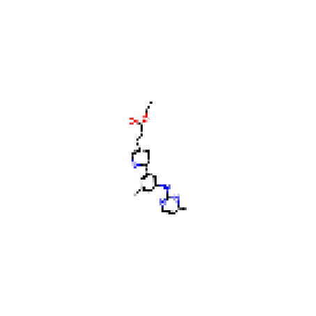 CCOC(=O)CCc1ccc(-c2cc(C)cc(Nc3nccc(C)n3)c2)nc1